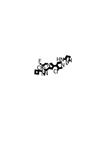 Cn1nccc1Nc1cc(-c2cc3n(c2)C[C@H](CF)n2c-3nnc2C2(C(F)(F)F)CCC2)c(Cl)cn1